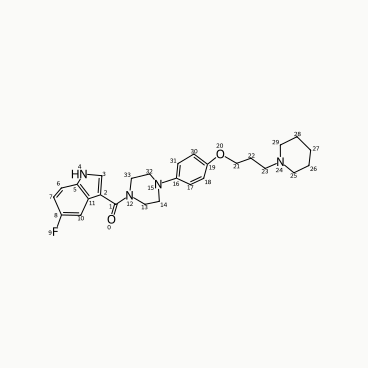 O=C(c1c[nH]c2ccc(F)cc12)N1CCN(c2ccc(OCCCN3CCCCC3)cc2)CC1